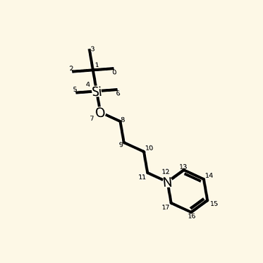 CC(C)(C)[Si](C)(C)OCCCCN1C=CC=CC1